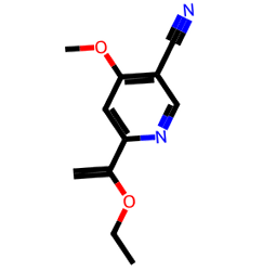 C=C(OCC)c1cc(OC)c(C#N)cn1